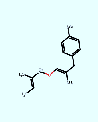 CC=C(C)[SiH2]OC=C(C)Cc1ccc(C(C)(C)C)cc1